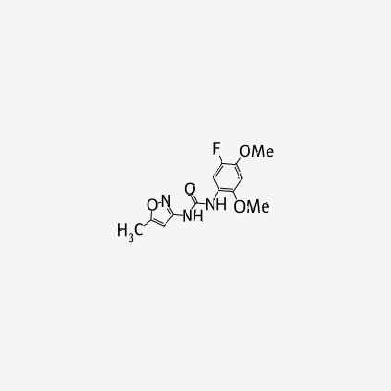 COc1cc(OC)c(NC(=O)Nc2cc(C)on2)cc1F